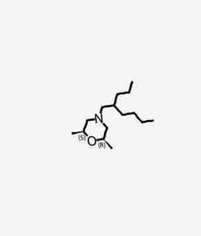 CCCCC(CCC)CN1C[C@@H](C)O[C@@H](C)C1